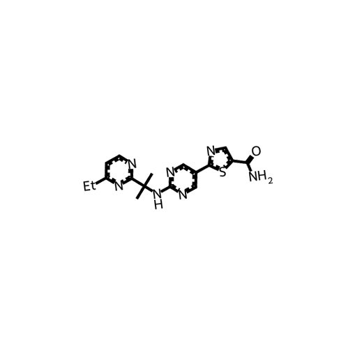 CCc1ccnc(C(C)(C)Nc2ncc(-c3ncc(C(N)=O)s3)cn2)n1